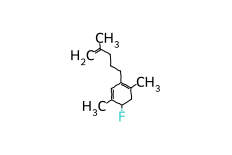 C=C(C)CCCC1=C(C)CC(F)C(C)=C1